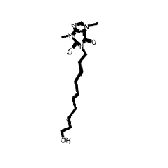 Cn1cnc2c1c(=O)n(CCCCCCCCCCO)c(=O)n2C